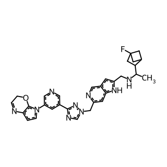 CC(NCc1cc2cnc(Cn3cnc(-c4cncc(-n5ccc6c5OCC=N6)c4)n3)cc2[nH]1)C1CC2(F)CC1C2